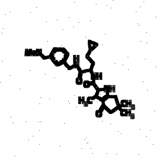 CNCc1cccc(CNC(=O)C(CCC2CC2)NC(=O)C2NC3=C(C(=O)CC(C)(C)C3)C2C)c1